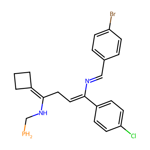 PCNC(C/C=C(\N=C\c1ccc(Br)cc1)c1ccc(Cl)cc1)=C1CCC1